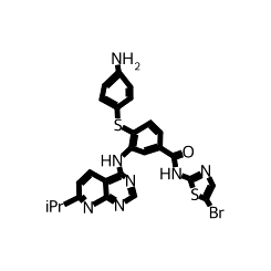 CC(C)c1ccc2c(Nc3cc(C(=O)Nc4ncc(Br)s4)ccc3Sc3ccc(N)cc3)ncnc2n1